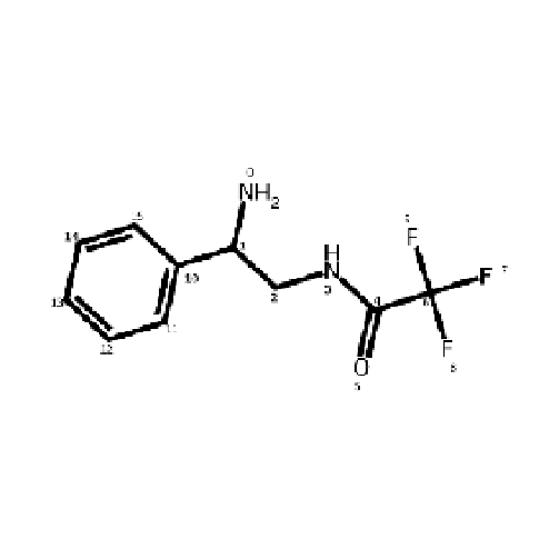 NC(CNC(=O)C(F)(F)F)c1ccccc1